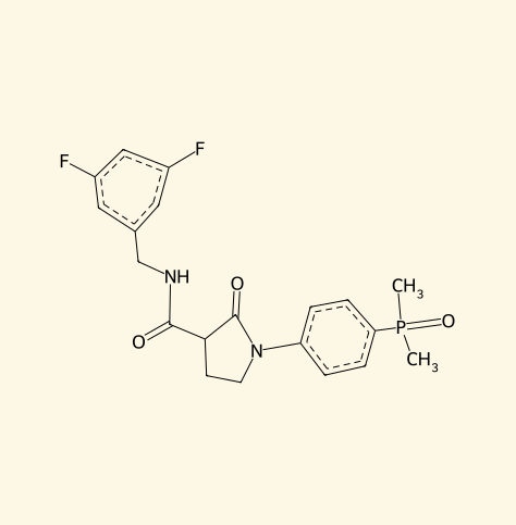 CP(C)(=O)c1ccc(N2CCC(C(=O)NCc3cc(F)cc(F)c3)C2=O)cc1